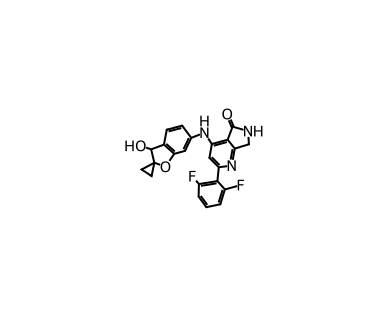 O=C1NCc2nc(-c3c(F)cccc3F)cc(Nc3ccc4c(c3)OC3(CC3)C4O)c21